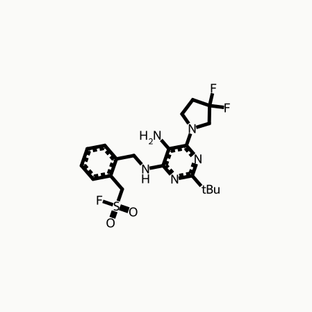 CC(C)(C)c1nc(NCc2ccccc2CS(=O)(=O)F)c(N)c(N2CCC(F)(F)C2)n1